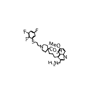 COc1ccc2ncc(CN)c(CCCC3(C(=O)O)CCN(CCSc4cc(F)cc(F)c4F)CC3)c2c1